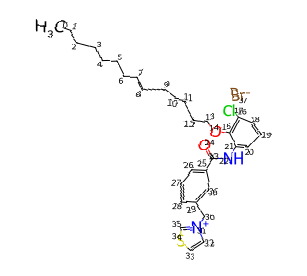 CCCCCCCCCCCCCCOc1c(Cl)cccc1NC(=O)c1cccc(C[n+]2ccsc2)c1.[Br-]